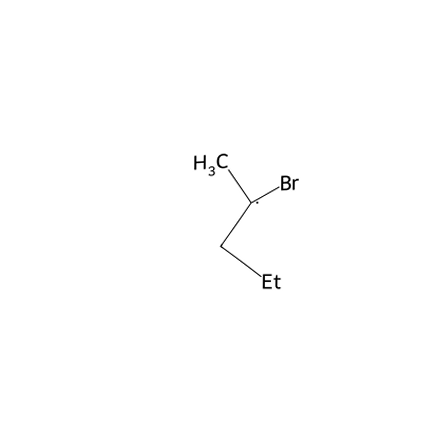 CCC[C](C)Br